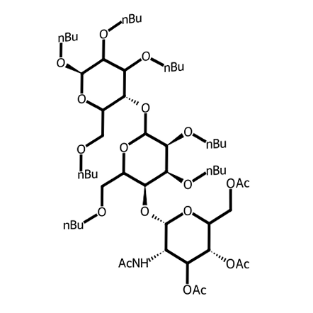 CCCCOCC1O[C@@H](OCCCC)C(OCCCC)C(OCCCC)[C@@H]1OC1OC(COCCCC)[C@H](O[C@@H]2OC(COC(C)=O)[C@H](OC(C)=O)C(OC(C)=O)[C@@H]2NC(C)=O)[C@H](OCCCC)[C@@H]1OCCCC